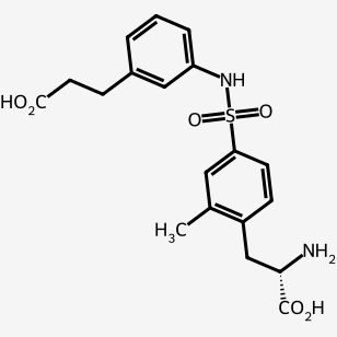 Cc1cc(S(=O)(=O)Nc2cccc(CCC(=O)O)c2)ccc1C[C@H](N)C(=O)O